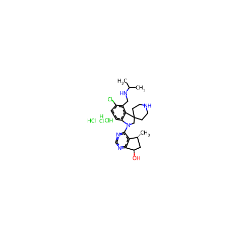 CC(C)NCc1c(Cl)ccc2c1C1(CCNCC1)CN2c1ncnc2c1[C@H](C)C[C@H]2O.Cl.Cl.Cl